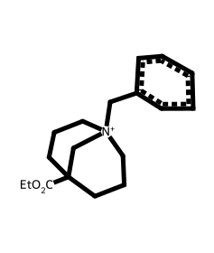 CCOC(=O)C12CCC[N+](Cc3ccccc3)(CCC1)C2